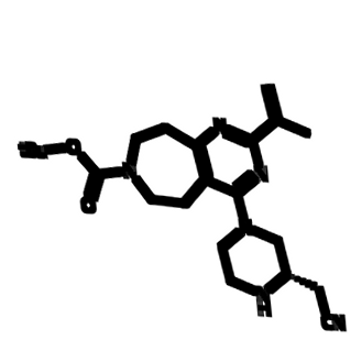 C=C(C)c1nc2c(c(N3CCN[C@@H](CC#N)C3)n1)CCN(C(=O)OC(C)(C)C)CC2